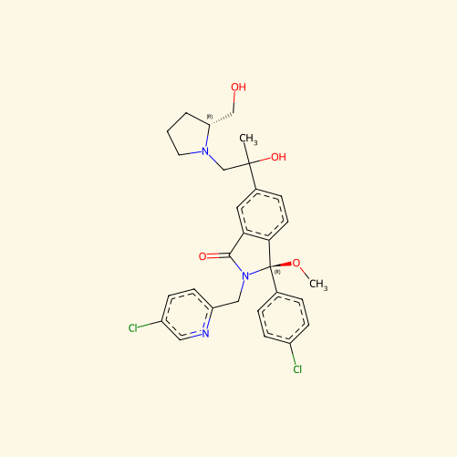 CO[C@]1(c2ccc(Cl)cc2)c2ccc(C(C)(O)CN3CCC[C@@H]3CO)cc2C(=O)N1Cc1ccc(Cl)cn1